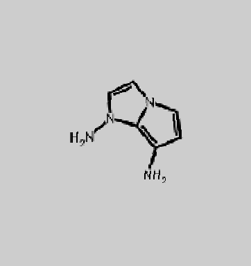 Nc1ccn2ccn(N)c12